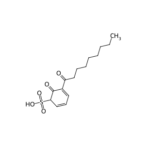 CCCCCCCCC(=O)C1=CC=CC(S(=O)(=O)O)C1=O